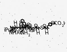 CC(=O)NC(C(=O)N(C)CC(=O)NCCC(=O)NC(CCN)C(=O)NC(CC1CCCCC1)C(=O)NC(C(=O)C(S)CCC(=O)NCCSCC(=O)NC(C)Cc1ccc(OCC(=O)O)cc1)C(C)C)C(C)C